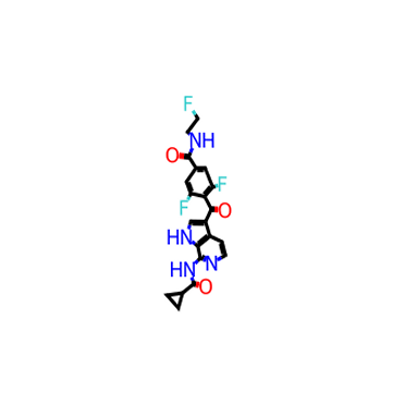 O=C(NCCF)c1cc(F)c(C(=O)c2c[nH]c3c(NC(=O)C4CC4)nccc23)c(F)c1